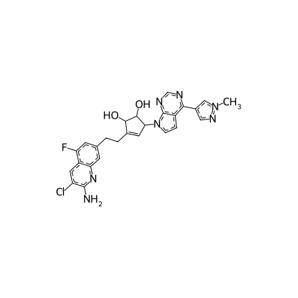 Cn1cc(-c2ncnc3c2ccn3C2C=C(CCc3cc(F)c4cc(Cl)c(N)nc4c3)C(O)C2O)cn1